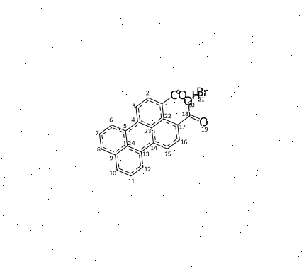 O=C(O)c1ccc2c3cccc4cccc(c5ccc(C(=O)OBr)c1c25)c43